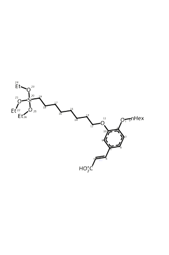 CCCCCCOc1ccc(/C=C/C(=O)O)cc1OCCCCCCCC[Si](OCC)(OCC)OCC